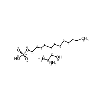 CCCCCCCCCCCCOS(=O)(=O)O.N.NCCO